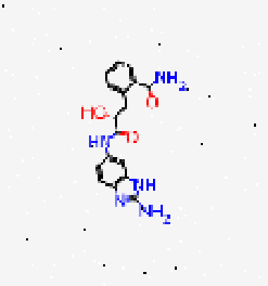 NC(=O)c1ccccc1[CH][C@@H](O)C(=O)Nc1ccc2nc(N)[nH]c2c1